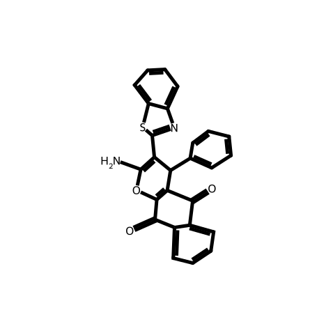 NC1=C(c2nc3ccccc3s2)C(c2ccccc2)C2=C(O1)C(=O)c1ccccc1C2=O